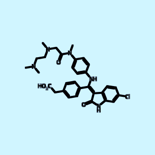 CN(C)CCN(C)CC(=O)N(C)c1ccc(NC(=C2C(=O)Nc3cc(Cl)ccc32)c2ccc(CC(=O)O)cc2)cc1